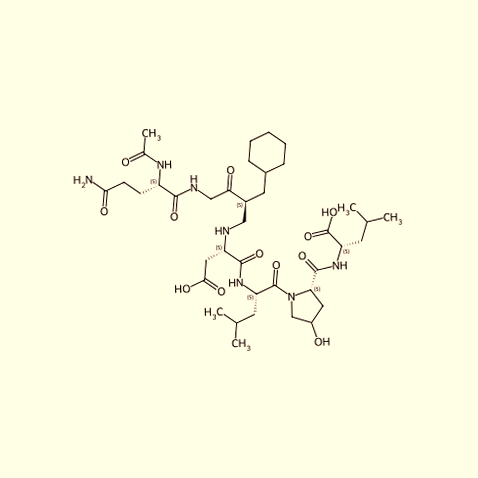 CC(=O)N[C@@H](CCC(N)=O)C(=O)NCC(=O)[C@H](CN[C@@H](CC(=O)O)C(=O)N[C@@H](CC(C)C)C(=O)N1CC(O)C[C@H]1C(=O)N[C@@H](CC(C)C)C(=O)O)CC1CCCCC1